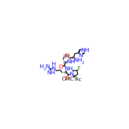 CC(=O)[C@@]1(C=O)CC(F)CN1C(=O)[C@H](CCCNC(=N)N)NC(=O)[C@H](CC(C)C)NC(=O)[C@@H](N)Cc1c[nH]cn1